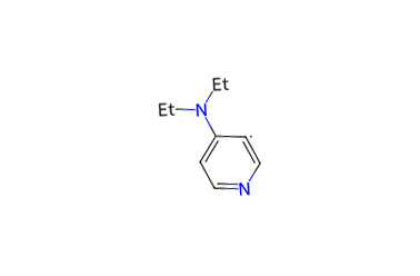 CCN(CC)c1[c]cncc1